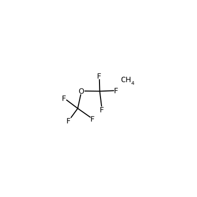 C.FC(F)(F)OC(F)(F)F